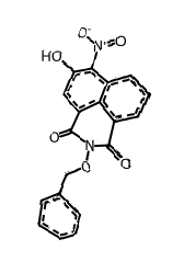 O=C1c2cccc3c([N+](=O)[O-])c(O)cc(c23)C(=O)N1OCc1ccccc1